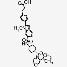 CC(C)C1COCCN1C(=O)[C@H]1CC[C@H](NS(=O)(=O)c2ccc3cc(-c4ccc(CCC(=O)O)cc4)n(C)c3c2)CC1